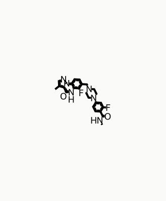 CNC(=O)c1ccc(N2CCN(Cc3ccc4c([nH]c(=O)c5c(C)cnn54)c3F)CC2)cc1F